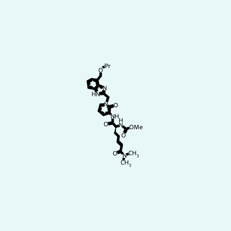 COC(=O)N[C@@H](CC/C=C/C(=O)N(C)C)C(=O)Nc1cccn(Cc2nc3c(COC(C)C)cccc3[nH]2)c1=O